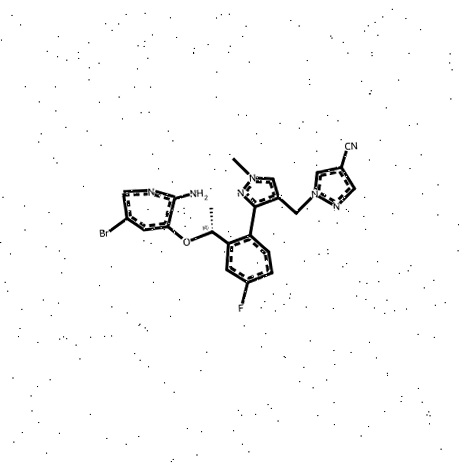 C[C@@H](Oc1cc(Br)cnc1N)c1cc(F)ccc1-c1nn(C)cc1Cn1cc(C#N)cn1